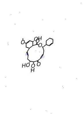 COC1=CC(O)C2C(=O)OC(C3C=CCCC3)C/C=C\C(=O)C(O)C(O)C/C=C/C2C1